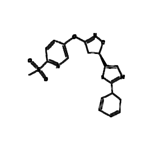 CS(=O)(=O)c1ccc(OC2=NO[C@@H](c3cnc(C4C=CC=CC4)s3)C2)cn1